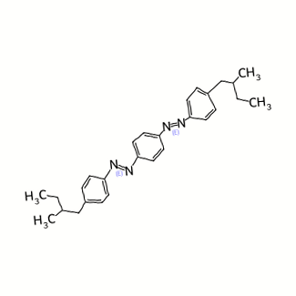 CCC(C)Cc1ccc(/N=N/c2ccc(/N=N/c3ccc(CC(C)CC)cc3)cc2)cc1